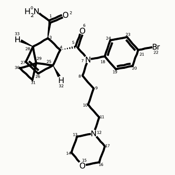 NC(=O)[C@H]1[C@H](C(=O)N(CCCCN2CCOCC2)c2ccc(Br)cc2)[C@@H]2C=C[C@H]1C21CC1